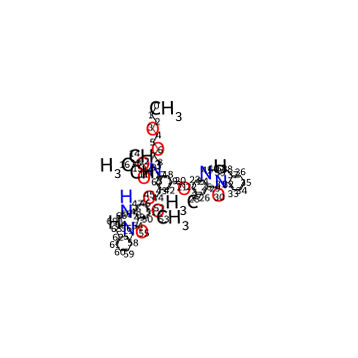 CCCOCCOCCN(C(=O)OC(C)(C)C)c1cc(COc2cc3c(cc2C)C(=O)N2c4ccccc4C[C@H]2C=N3)cc(COc2cc3c(cc2OC)C(=O)N2c4ccccc4C[C@H]2CN3)c1